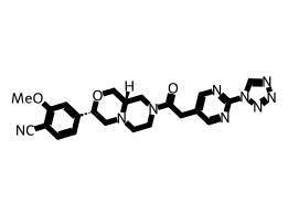 COc1cc([C@H]2CN3CCN(C(=O)Cc4cnc(-n5cnnn5)nc4)C[C@H]3CO2)ccc1C#N